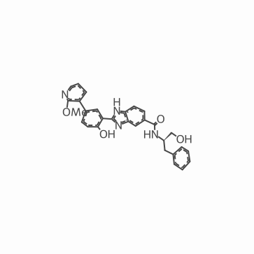 COc1ncccc1-c1ccc(O)c(-c2nc3cc(C(=O)N[C@@H](CO)Cc4ccccc4)ccc3[nH]2)c1